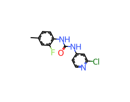 Cc1ccc(NC(=O)Nc2ccnc(Cl)c2)c(F)c1